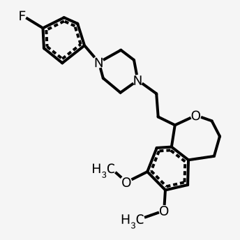 COc1cc2c(cc1OC)C(CCN1CCN(c3ccc(F)cc3)CC1)OCCC2